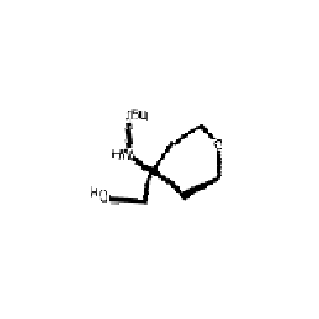 CC(C)(C)NC1(CO)CCOCC1